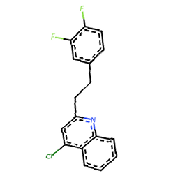 Fc1ccc(CCc2cc(Cl)c3ccccc3n2)cc1F